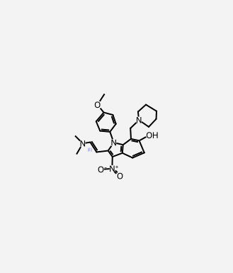 COc1ccc(-n2c(/C=C/N(C)C)c([N+](=O)[O-])c3ccc(O)c(CN4CCCCC4)c32)cc1